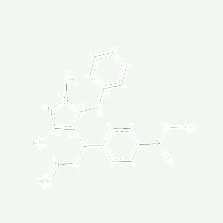 C=NOC(c1ccc(C(=O)OC(C)(C)C)cc1)c1c(C)nn(C)c1Oc1ccccc1